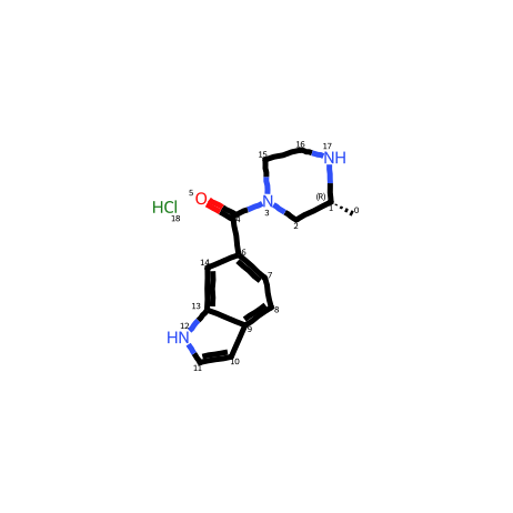 C[C@@H]1CN(C(=O)c2ccc3cc[nH]c3c2)CCN1.Cl